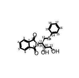 O=C1c2ccccc2C(=O)N1[C@@H](CSc1ccccc1)[C@@H](O)CO